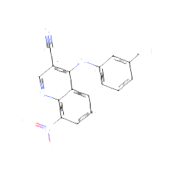 Cc1cccc(Nc2c(C#N)cnc3c([N+](=O)[O-])cccc23)c1